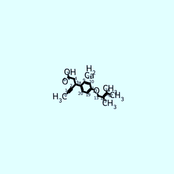 CC#CC(CC(=O)O)c1ccc(OCC(C)=C(C)C)cc1.[CaH2]